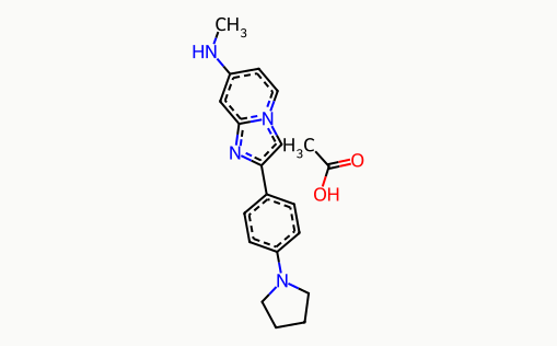 CC(=O)O.CNc1ccn2cc(-c3ccc(N4CCCC4)cc3)nc2c1